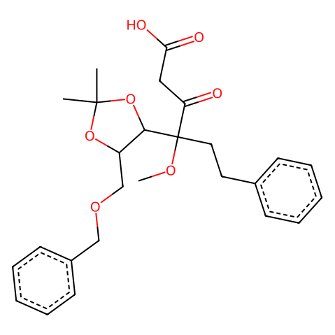 COC(CCc1ccccc1)(C(=O)CC(=O)O)C1OC(C)(C)OC1COCc1ccccc1